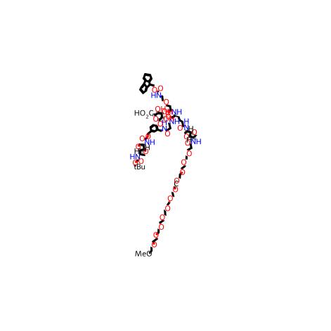 COCCOCCOCCOCCOCCOCCOCCOCCOCCOCCOCCOCCC(=O)N[C@H]1CO[C@H]2[C@@H]1OC[C@@H]2NC(=O)CCC[C@H](NC(=O)CCOCCNC(=O)OCC1c2ccccc2-c2ccccc21)C(=O)NCCC(=O)NCc1cc(COC(=O)N[C@H]2CO[C@H]3[C@@H]2OC[C@@H]3NC(=O)OC(C)(C)C)ccc1O[C@@H]1O[C@H](C(=O)O)[C@@H](O)[C@H](O)[C@H]1O